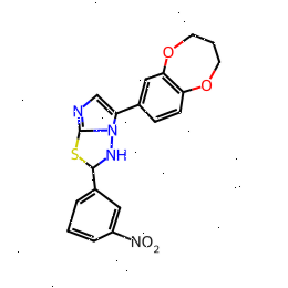 O=[N+]([O-])c1cccc(C2Nn3c(-c4ccc5c(c4)OCCCO5)cnc3S2)c1